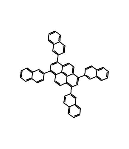 c1ccc2cc(-c3cc(-c4ccc5ccccc5c4)c4ccc5c(-c6ccc7ccccc7c6)cc(-c6ccc7ccccc7c6)c6ccc3c4c65)ccc2c1